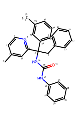 Cc1ccnc(C(Cc2ccccc2)(NC(=O)Nc2ccccc2)c2cccc(C(F)(F)F)c2)c1